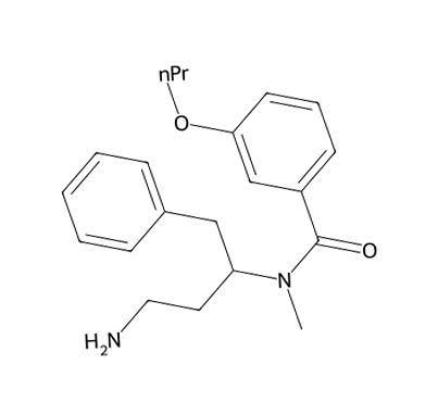 CCCOc1cccc(C(=O)N(C)C(CCN)Cc2ccccc2)c1